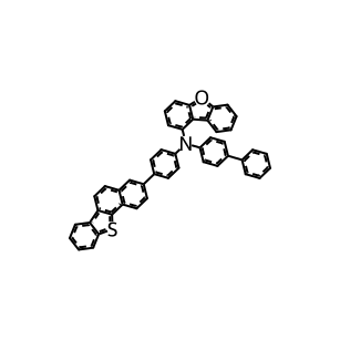 c1ccc(-c2ccc(N(c3ccc(-c4ccc5c(ccc6c7ccccc7sc56)c4)cc3)c3cccc4oc5ccccc5c34)cc2)cc1